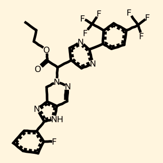 CCCOC(=O)C(c1cnc(-c2ccc(C(F)(F)F)cc2C(F)(F)F)nc1)N1Cc2nc(-c3ccccc3F)[nH]c2C=N1